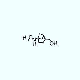 CNC12CCC(CO)=C(C1)C2